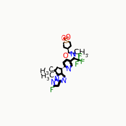 CN(C(=O)C1CCS(=O)(=O)CC1)[C@@H](c1ccc([C@H]2CC(C)(C)c3c2cnc2cc(F)nn32)nc1)C(F)(F)F